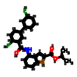 CC(C)OC(=O)c1cc2c(NC(=O)c3cc(-c4cccc(F)c4)ccc3F)cccc2s1